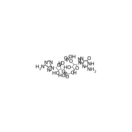 Nc1nc2c(nnn2[C@@H]2O[C@@H]3OCP(=O)(O)OC4C(O)[C@H](n5cnc6c(N)ncnc65)O[C@@H]4OCP(=O)(O)OC2C3O)c(=O)[nH]1